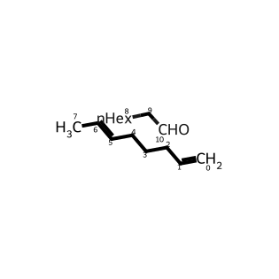 C=CCCCC=CC.CCCCCCCC=O